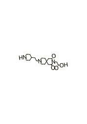 O=C(O)CN1C(=O)CC2(CCN(CCC3CCNCC3)CC2)CC1=O